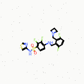 O=S(=O)(Nc1cscn1)c1ccc(NCc2c(F)ccc(F)c2CN2CCC2)c(F)c1F